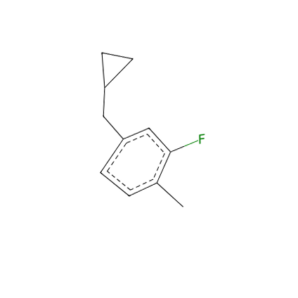 Cc1ccc(CC2CC2)cc1F